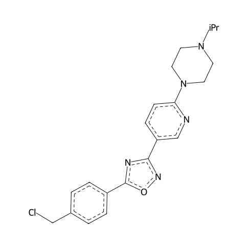 CC(C)N1CCN(c2ccc(-c3noc(-c4ccc(CCl)cc4)n3)cn2)CC1